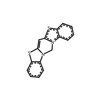 C1=C2Sc3ccccc3N2C[n+]2c1sc1ccccc12